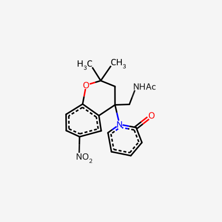 CC(=O)NCC1(n2ccccc2=O)CC(C)(C)Oc2ccc([N+](=O)[O-])cc21